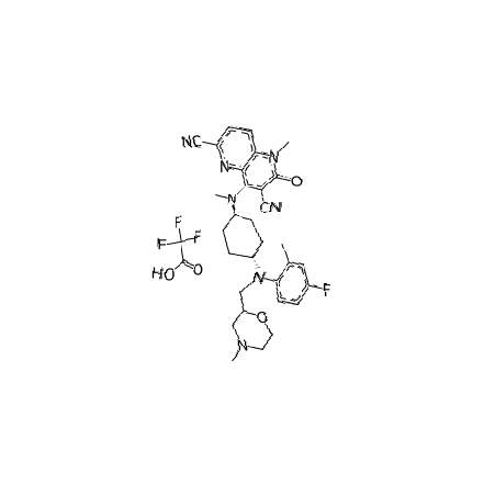 Cc1cc(F)ccc1N(CC1CN(C)CCO1)[C@H]1CC[C@H](N(C)c2c(C#N)c(=O)n(C)c3ccc(C#N)nc23)CC1.O=C(O)C(F)(F)F